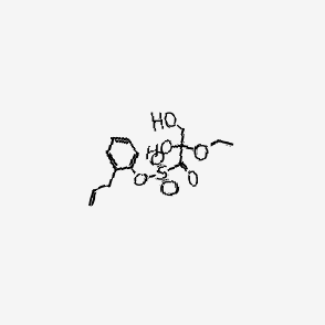 C=CCc1ccccc1OS(=O)(=O)C(=O)C(O)(CO)OCC